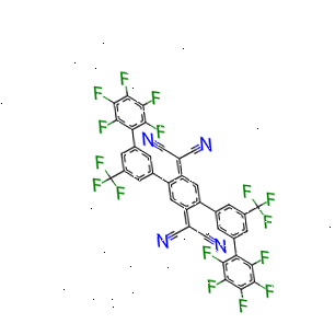 N#CC(C#N)=c1cc(-c2cc(-c3c(F)c(F)c(F)c(F)c3F)cc(C(F)(F)F)c2)c(=C(C#N)C#N)cc1-c1cc(-c2c(F)c(F)c(F)c(F)c2F)cc(C(F)(F)F)c1